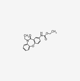 CCOC(=O)Nc1ccc2c(c1)C(=O)N(CC)c1ccccc1O2